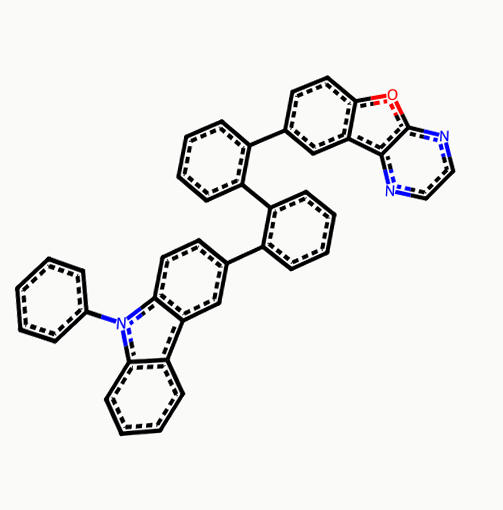 c1ccc(-n2c3ccccc3c3cc(-c4ccccc4-c4ccccc4-c4ccc5oc6nccnc6c5c4)ccc32)cc1